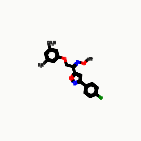 CCCON=C(COc1cc(C(=O)O)cc(C(F)(F)F)c1)c1cc(-c2ccc(F)cc2)no1